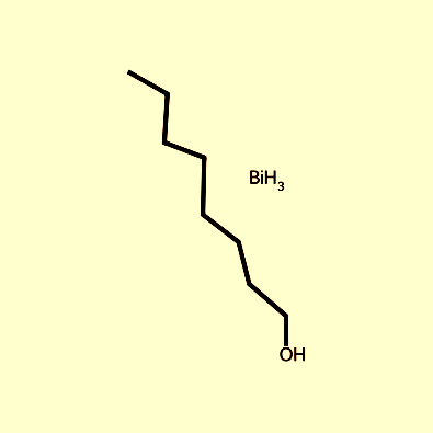 CCCCCCCCO.[BiH3]